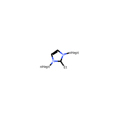 CCCCCCCN1C=CN(CCCCCCC)C1CC